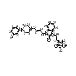 Cc1cccc(N2CCN(CC=CCn3c(=O)n(CCNS(C)(=O)=O)c4ccccc43)CC2)c1